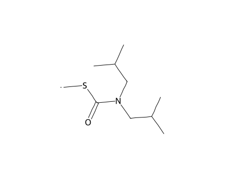 [CH2]SC(=O)N(CC(C)C)CC(C)C